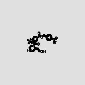 C[Si](C)(C)OC1(C(=O)N2CCNCC2CCO)CCN(C(=O)OCc2ccc([N+](=O)[O-])cc2)C1